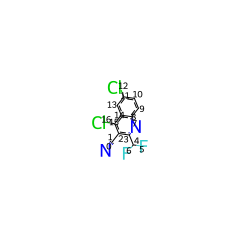 N#Cc1c(C(F)F)nc2ccc(Cl)cc2c1Cl